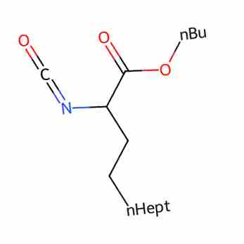 CCCCCCCCCC(N=C=O)C(=O)OCCCC